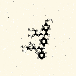 CCC(C)CCN(C(=O)c1cnc(SC)nc1C)c1ccc(OC(CN(C)C(=O)OC(C)(C)C)c2ccccc2)cc1